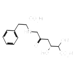 O=C(CN[C@H](Cc1ccccc1)C(=O)O)C[C@H](O)C(O)C(=O)O